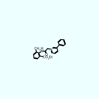 CCOC(=O)c1cccc(C)c1NC(=O)C[n+]1cccc(-c2ccccc2)c1